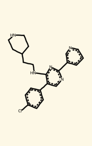 Clc1ccc(-c2cnc(-c3cccnc3)nc2NCCC2CCNCC2)cc1